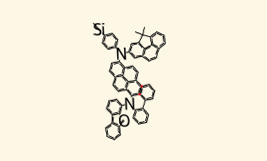 CC1(C)c2cccc3ccc4cc(N(c5ccc([Si](C)(C)C)cc5)c5ccc6ccc7c(N(c8ccccc8-c8ccccc8)c8cccc9c8oc8ccccc89)ccc8ccc5c6c87)cc1c4c23